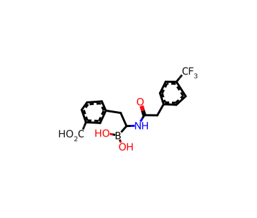 O=C(Cc1ccc(C(F)(F)F)cc1)NC(Cc1cccc(C(=O)O)c1)B(O)O